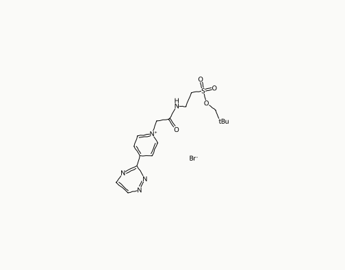 CC(C)(C)COS(=O)(=O)CCNC(=O)C[n+]1ccc(-c2nccnn2)cc1.[Br-]